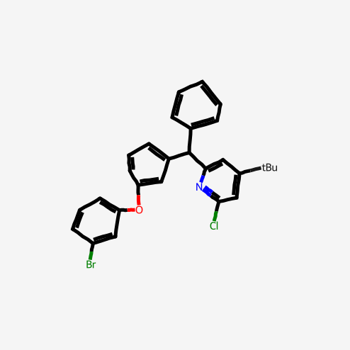 CC(C)(C)c1cc(Cl)nc(C(c2ccccc2)c2cccc(Oc3cccc(Br)c3)c2)c1